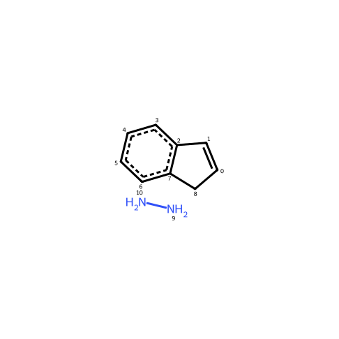 C1=Cc2ccccc2C1.NN